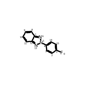 Fc1ccc(-n2nc3ccccc3n2)cc1